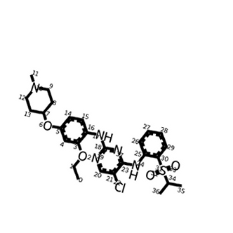 CCOc1cc(OC2CCN(C)CC2)ccc1Nc1ncc(Cl)c(Nc2ccccc2S(=O)(=O)C(C)C)n1